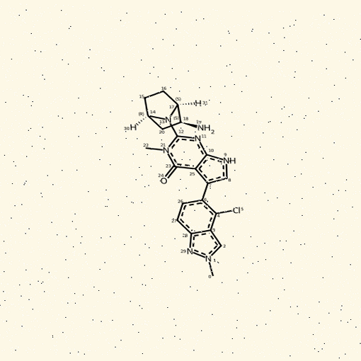 Cn1cc2c(Cl)c(-c3c[nH]c4nc(N5[C@@H]6CC[C@H]5[C@@H](N)C6)n(C)c(=O)c34)ccc2n1